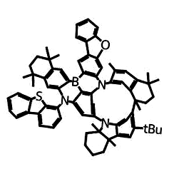 Cc1cc2c3cc1N1c4cc5oc6ccccc6c5cc4B4c5cc6c(cc5N(c5cccc7c5sc5ccccc57)c5cc(cc1c54)N1c4cc(c(C(C)(C)C)cc4C4(C)CCCCC14C)C3(C)CCC2(C)C)C(C)(C)CCC6(C)C